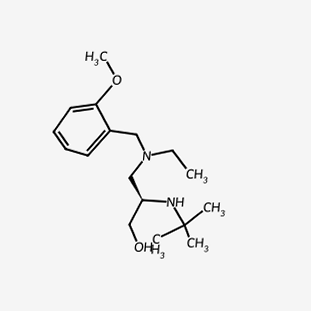 CCN(Cc1ccccc1OC)C[C@H](CO)NC(C)(C)C